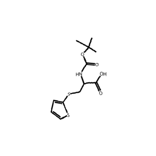 CC(C)(C)OC(=O)NC(CSc1cccs1)C(=O)O